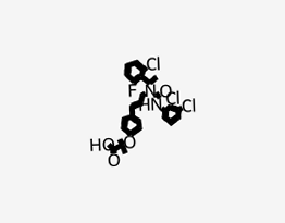 CC(c1c(F)cccc1Cl)N(CC=Cc1ccc(OC(C)(C)C(=O)O)cc1)C(=O)Nc1cccc(Cl)c1Cl